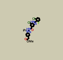 COC(=O)Cc1ccc2c(c1)nc(NC(=O)c1cc(Cl)c3[nH]c(-c4c(F)cccc4Cl)nc3c1)n2C(C)C